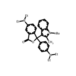 CCCCn1c(C)c(C2(c3ccc(N(CC)CC)cc3)OC(=O)c3cc(N(CC)CC)ccc32)c2ccccc21